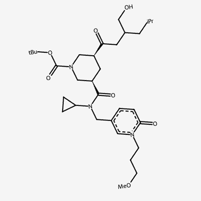 COCCCn1cc(CN(C(=O)[C@@H]2C[C@H](C(=O)CC(CO)CC(C)C)CN(C(=O)OC(C)(C)C)C2)C2CC2)ccc1=O